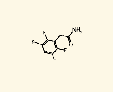 NC(=O)Cc1c(F)c(F)cc(F)c1F